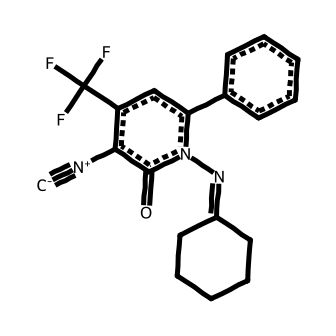 [C-]#[N+]c1c(C(F)(F)F)cc(-c2ccccc2)n(N=C2CCCCC2)c1=O